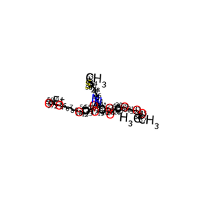 CCC1(COCCCCCCOc2ccc(C(=O)OC3CCC(OC(=O)c4ccc(OCCCOC5OC5(C)C)cc4)CC3/C=N/N=C/C=C/c3csc(C)c3)cc2)COC1